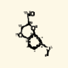 COc1ccc2c(c1)OC(C=O)CO2